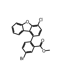 COC(=O)c1cc(Br)ccc1-c1ccc(Cl)c2oc3ccccc3c12